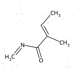 C=NC(=O)C(C)=CC